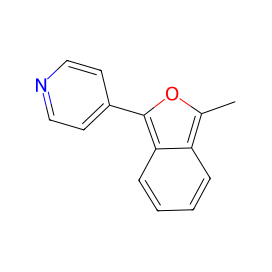 Cc1oc(-c2ccncc2)c2ccccc12